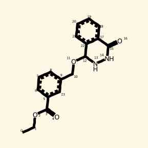 CCOC(=O)c1cccc(COC2NNC(=O)c3ccccc32)c1